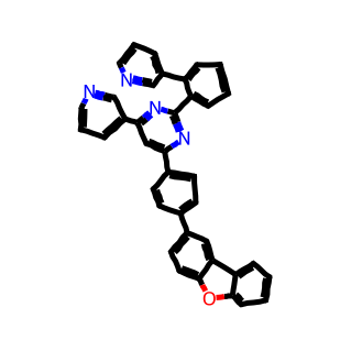 c1cncc(-c2cc(-c3ccc(-c4ccc5oc6ccccc6c5c4)cc3)nc(-c3ccccc3-c3cccnc3)n2)c1